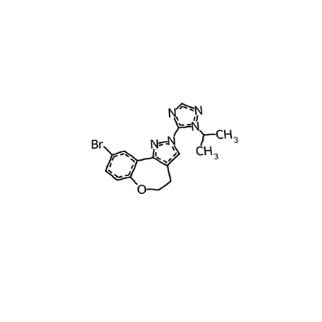 CC(C)n1ncnc1-n1cc2c(n1)-c1cc(Br)ccc1OCC2